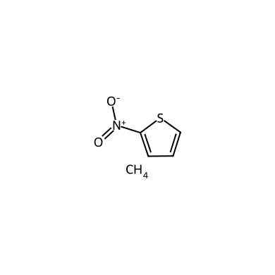 C.O=[N+]([O-])c1cccs1